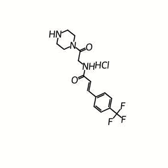 Cl.O=C(/C=C/c1ccc(C(F)(F)F)cc1)NCC(=O)N1CCNCC1